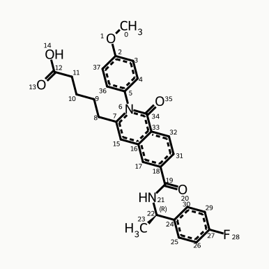 COc1ccc(-n2c(CCCCC(=O)O)cc3cc(C(=O)N[C@H](C)c4ccc(F)cc4)ccc3c2=O)cc1